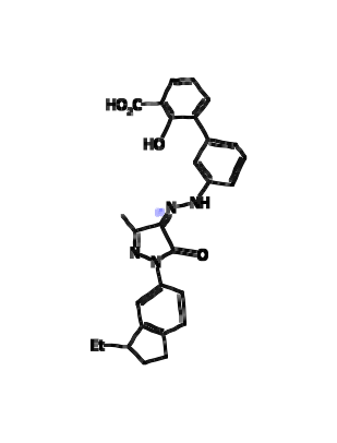 CCC1CCc2ccc(N3N=C(C)/C(=N/Nc4cccc(-c5cccc(C(=O)O)c5O)c4)C3=O)cc21